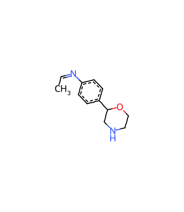 C/C=N\c1ccc(C2CNCCO2)cc1